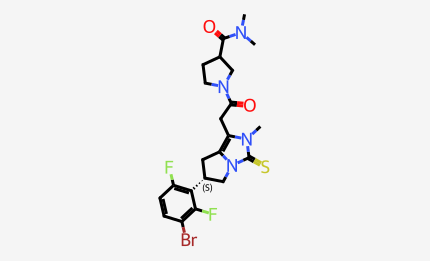 CN(C)C(=O)C1CCN(C(=O)Cc2c3n(c(=S)n2C)C[C@H](c2c(F)ccc(Br)c2F)C3)C1